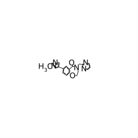 Cn1cc(-c2ccc3c(c2)C(=O)N(Cc2ncccn2)CCO3)cn1